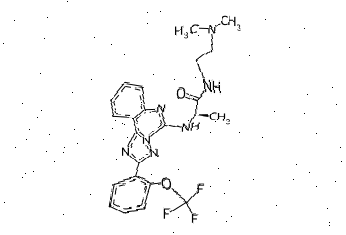 C[C@@H](Nc1nc2ccccc2c2nc(-c3ccccc3OC(F)(F)F)nn12)C(=O)NCCN(C)C